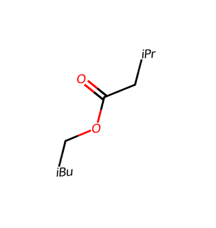 CCC(C)COC(=O)CC(C)C